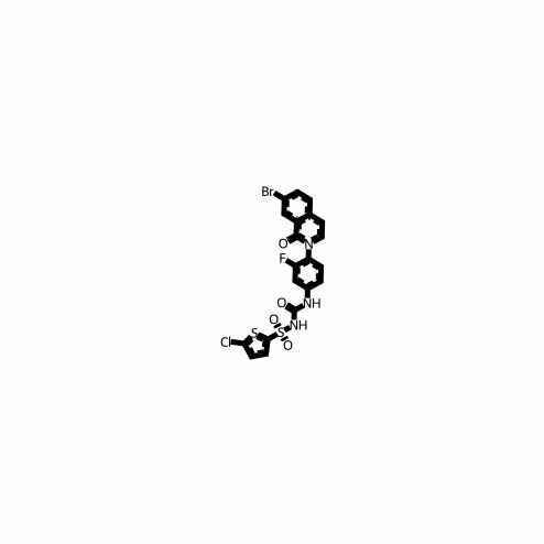 O=C(Nc1ccc(-n2ccc3ccc(Br)cc3c2=O)c(F)c1)NS(=O)(=O)c1ccc(Cl)s1